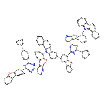 c1ccc(-c2ccc(-c3nc(-c4ccc5c(c4)oc4ccccc45)nc(-c4ccnc5oc6c(-n7c8ccc(-c9cc(-c%10nc(-c%11ccccc%11)nc(-c%11ccnc%12oc%13c(-n%14c%15ccccc%15c%15ccc%16ccccc%16c%15%14)cccc%13c%11%12)n%10)c%10sc%11ccccc%11c%10c9)cc8c8ccc9ccccc9c87)cccc6c45)n3)cc2)cc1